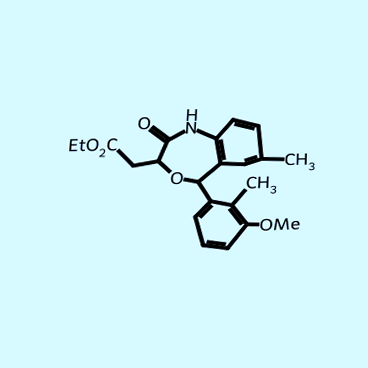 CCOC(=O)CC1OC(c2cccc(OC)c2C)c2cc(C)ccc2NC1=O